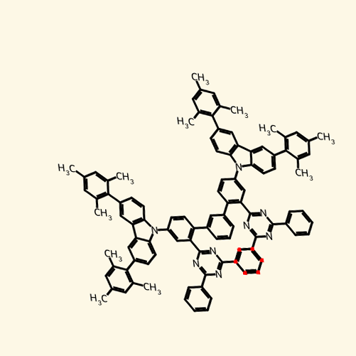 Cc1cc(C)c(-c2ccc3c(c2)c2cc(-c4c(C)cc(C)cc4C)ccc2n3-c2ccc(-c3cccc(-c4ccc(-n5c6ccc(-c7c(C)cc(C)cc7C)cc6c6cc(-c7c(C)cc(C)cc7C)ccc65)cc4-c4nc(-c5ccccc5)nc(-c5ccccc5)n4)c3)c(-c3nc(-c4ccccc4)nc(-c4ccccc4)n3)c2)c(C)c1